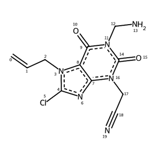 C=CCn1c(Cl)nc2c1c(=O)n(CN)c(=O)n2CC#N